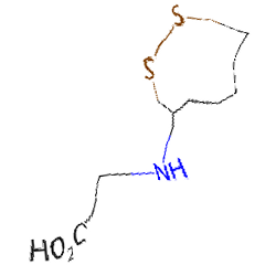 O=C(O)CNC1CCSS1